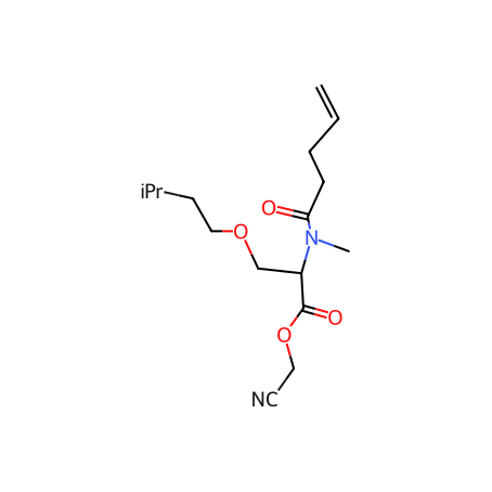 C=CCCC(=O)N(C)C(COCCC(C)C)C(=O)OCC#N